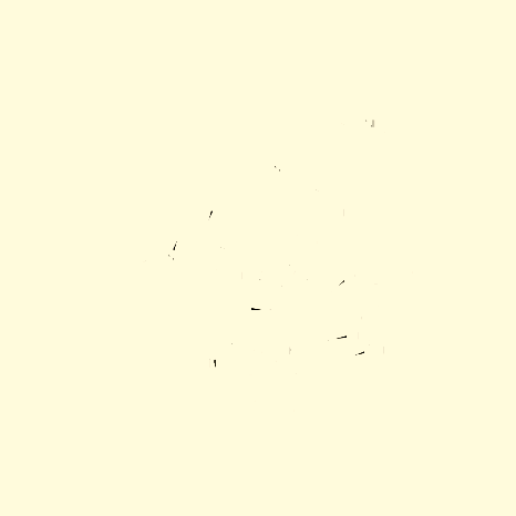 CC(=O)O[C@H]1C(=O)[C@@]2(C)[C@H]([C@H](OC(=O)c3ccccc3)[C@]3(O)C[C@H](OC(=O)[C@H](O)[C@@H](NC(=O)c4ccccc4)c4ccccc4)C(C)=C1C3(C)C)[C@]1(OC(C)=O)CO[C@@H]1C[C@@H]2O.NC(=O)O.NCC(=O)O